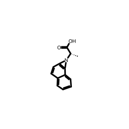 C[C@@H](C(=O)O)N1c2ccc3ccccc3c21